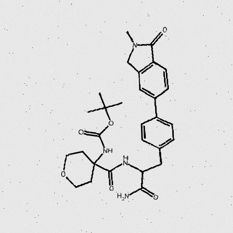 CN1Cc2cc(-c3ccc(CC(NC(=O)C4(NC(=O)OC(C)(C)C)CCOCC4)C(N)=O)cc3)ccc2C1=O